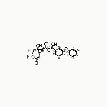 CC1(C)C(/C=C(/Cl)C(F)(F)F)[C@@H]1C(=O)O[C@@H](C#N)c1cccc(Oc2ccccc2)c1